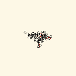 O=C(NCC[C@H](O)C(=O)N[C@@H]1C[C@H](NC(=O)OCc2ccccc2)[C@@H](O[C@H]2O[C@H](CNC(=O)OCc3ccccc3)C=C[C@H]2NC(=O)OCc2ccccc2)[C@H](O[C@@H]2O[C@H](CO)[C@@H](O[C@H]3O[C@@H](CNC(=O)OCc4ccccc4)C=C[C@H]3NC(=O)OCc3ccccc3)[C@H]2O)[C@H]1O)OCc1ccccc1